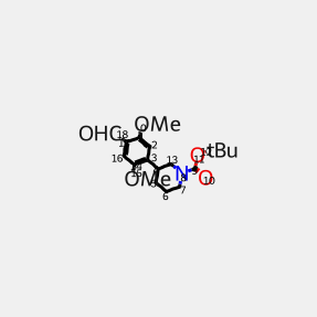 COc1cc(C2CCCN(C(=O)OC(C)(C)C)C2)c(OC)cc1C=O